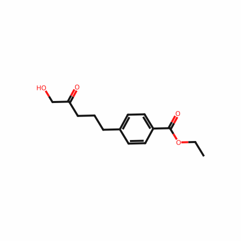 CCOC(=O)c1ccc(CCCC(=O)CO)cc1